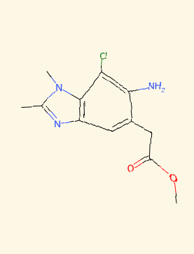 COC(=O)Cc1cc2nc(C)n(C)c2c(Cl)c1N